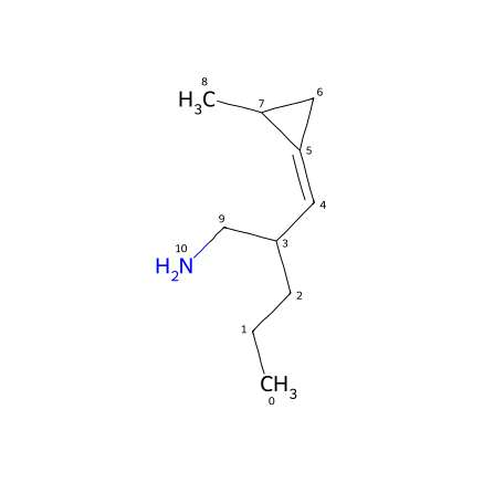 CCCC(/C=C1/CC1C)CN